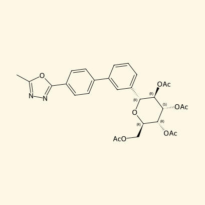 CC(=O)OC[C@H]1O[C@H](c2cccc(-c3ccc(-c4nnc(C)o4)cc3)c2)[C@@H](OC(C)=O)[C@H](OC(C)=O)[C@@H]1OC(C)=O